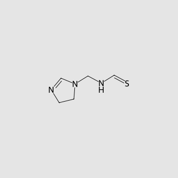 S=CNCN1C=NCC1